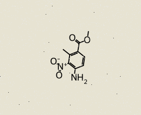 COC(=O)c1ccc(N)c([N+](=O)[O-])c1C